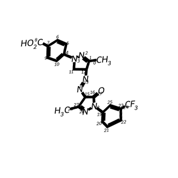 CC1=NN(c2ccc(C(=O)O)cc2)CC1N=NC1C(=O)N(c2cccc(C(F)(F)F)c2)N=C1C